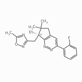 CC[C@@]1(Cc2noc(C)n2)c2nnc(-c3ccccc3F)cc2CC1(C)C